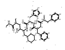 CNC(=O)C(C)CC(O)C(CC1CCCCC1)NC(=O)[C@H](Cc1cscn1)NC(=O)C(CC(=O)N(C)Cc1ccccc1)Cc1ccccc1